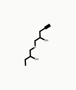 C#CCC(O)COCC(O)CC